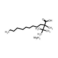 CCCCCCCCCCC(C)(C(=O)O)C(C)(C)C.[MgH2]